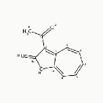 CC(=O)c1c2cccccc-2oc1=O